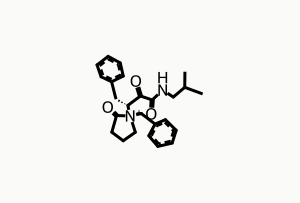 CC(C)CNC(=O)C(=O)[C@@H](Cc1ccccc1)[N+]1(Cc2ccccc2)CCCC1=O